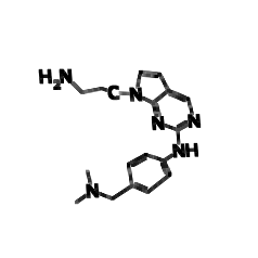 CN(C)Cc1ccc(Nc2ncc3ccn(CCCN)c3n2)cc1